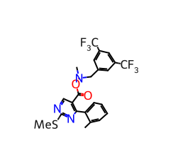 CSc1ncc(C(=O)ON(C)Cc2cc(C(F)(F)F)cc(C(F)(F)F)c2)c(-c2ccccc2C)n1